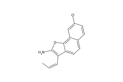 C/C=C\c1c(N)oc2c1ccc1ccc(Cl)cc12